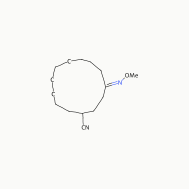 CO/N=C1\CCCCCCCCCC(C#N)CC1